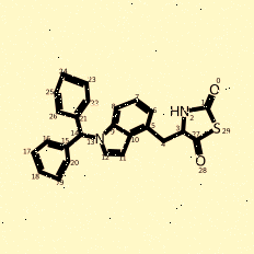 O=C1NC(Cc2cccc3c2ccn3C(c2ccccc2)c2ccccc2)C(=O)S1